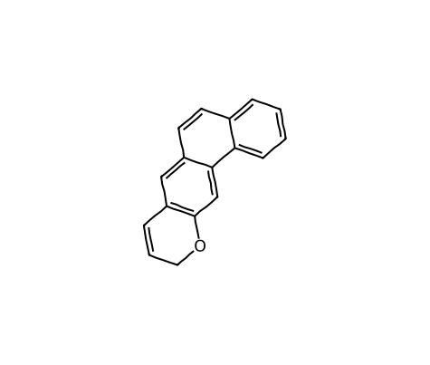 C1=Cc2cc3ccc4ccccc4c3cc2OC1